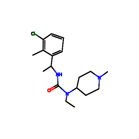 CCN(C(=O)NC(C)c1cccc(Cl)c1C)C1CCN(C)CC1